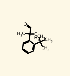 CC(C)(C)c1ccccc1C(C)(C)C=O